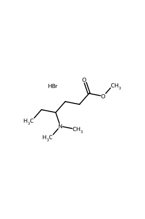 Br.CCC(CCC(=O)OC)N(C)C